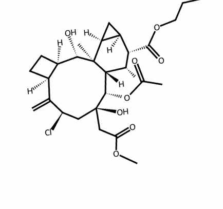 C=C1[C@H](Cl)C[C@@](O)(CC(=O)OC)[C@@H](OC(C)=O)[C@H]2[C@@H](C)[C@@H](C(=O)OCCC)[C@@H]3C[C@@H]3[C@]2(C)[C@@H](O)[C@@H]2CC[C@H]12